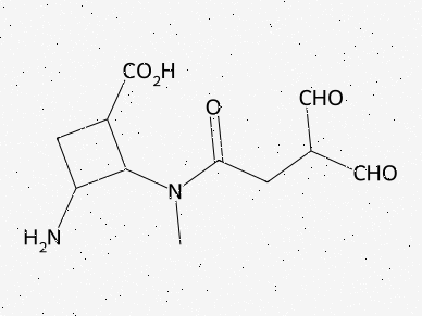 CN(C(=O)CC(C=O)C=O)C1C(N)CC1C(=O)O